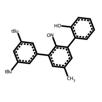 Cc1cc(-c2cc(C(C)(C)C)cc(C(C)(C)C)c2)c(N=O)c(-c2ccccc2O)c1